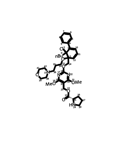 CCCCC1(Cl)C(c2ccccc2)=CC=CC1(COc1nc(OC)c(COC(=O)[C@@H]2CCCN2)c(OC)n1)OCCCN1CCOCC1